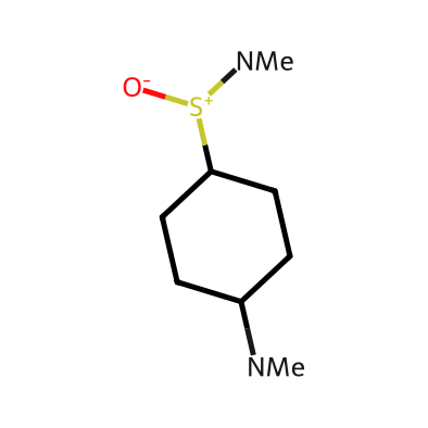 CNC1CCC([S+]([O-])NC)CC1